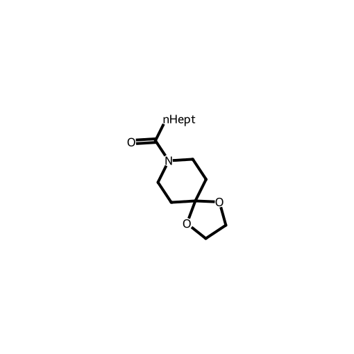 CCCCCCCC(=O)N1CCC2(CC1)OCCO2